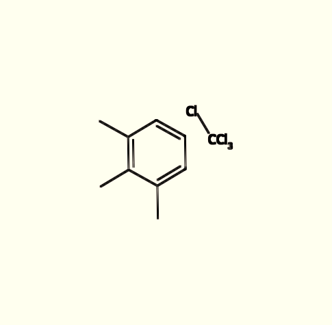 Cc1cccc(C)c1C.ClC(Cl)(Cl)Cl